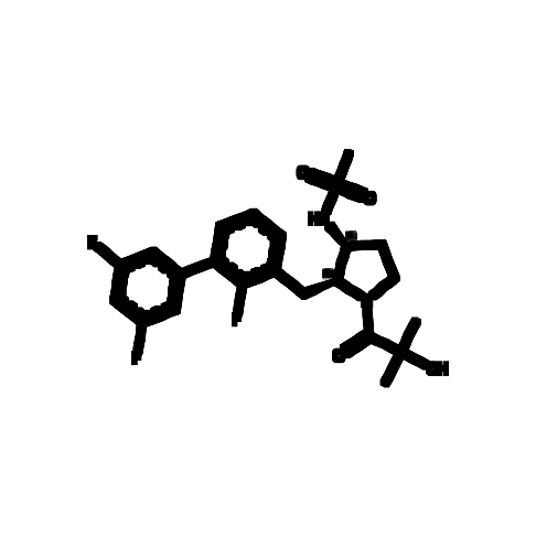 CC(C)(O)C(=O)N1CC[C@H](NS(C)(=O)=O)[C@@H]1Cc1cccc(-c2cc(F)cc(F)c2)c1F